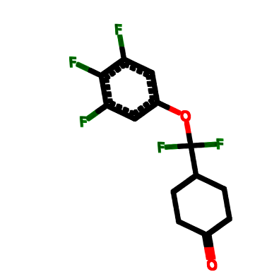 O=C1CCC(C(F)(F)Oc2cc(F)c(F)c(F)c2)CC1